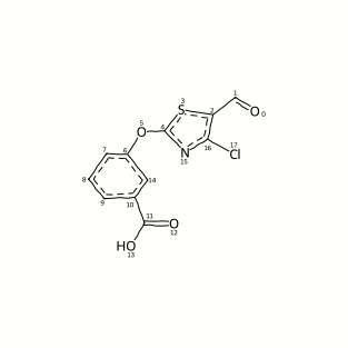 O=Cc1sc(Oc2cccc(C(=O)O)c2)nc1Cl